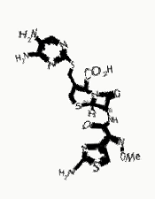 CON=C(C(=O)N[C@@H]1C(=O)N2C(C(=O)O)=C(CSc3ncc(N)c(N)n3)CS[C@@H]12)c1csc(N)n1